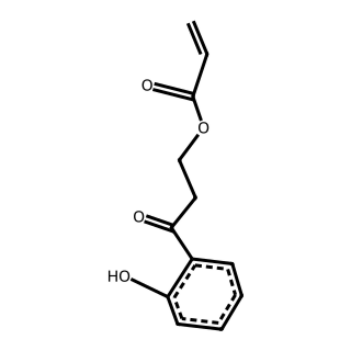 C=CC(=O)OCCC(=O)c1ccccc1O